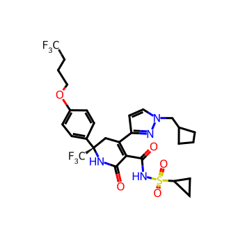 O=C1N[C@@](c2ccc(OCCCC(F)(F)F)cc2)(C(F)(F)F)CC(c2ccn(CC3CCC3)n2)=C1C(=O)NS(=O)(=O)C1CC1